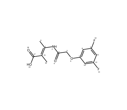 CC(NC(=O)COc1cc(F)cc(F)c1)=C(C)C(=O)O